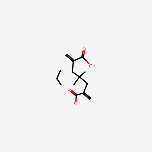 C=C(CC(C)(C)CC(=C)C(=O)O)C(=O)O.CCC